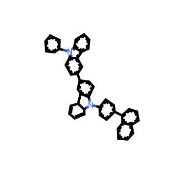 C1=CC2c3cc(-c4ccc5c(c4)c4ccccc4n5-c4ccccc4)ccc3N(c3ccc(-c4cccc5ccccc45)cc3)C2C=C1